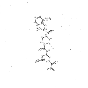 C=C(C)C(=O)OCC(CNC(C)(C)C)OC(=O)C1CCN(C(=O)OCc2c([N+](=O)[O-])cccc2[N+](=O)[O-])CC1